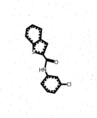 O=C(Nc1cccc(Cl)c1)c1cc2ccccc2s1